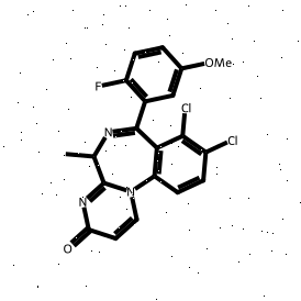 COc1ccc(F)c(C2=NC(C)c3nc(=O)ccn3-c3ccc(Cl)c(Cl)c32)c1